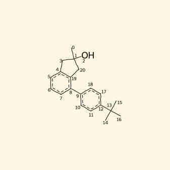 CC1(O)Cc2cccc(-c3ccc(C(C)(C)C)cc3)c2C1